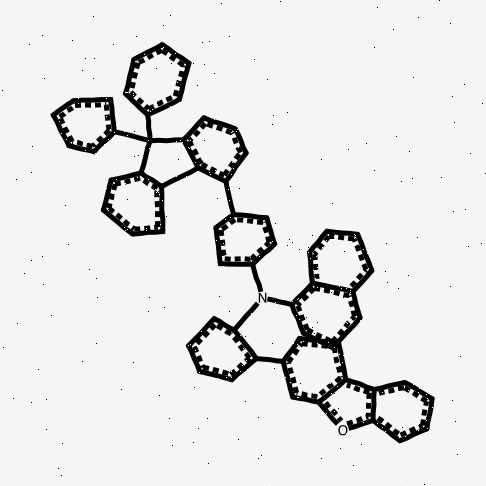 c1ccc(C2(c3ccccc3)c3ccccc3-c3c(-c4ccc(N(c5ccccc5-c5ccc6c(c5)oc5ccccc56)c5cccc6ccccc56)cc4)cccc32)cc1